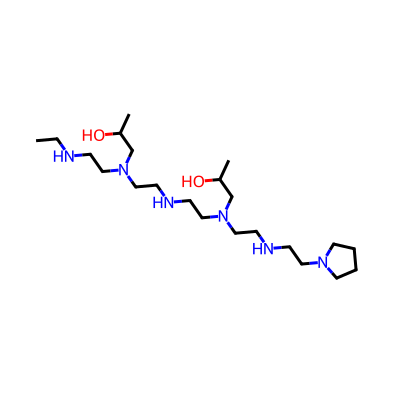 CCNCCN(CCNCCN(CCNCCN1CCCC1)CC(C)O)CC(C)O